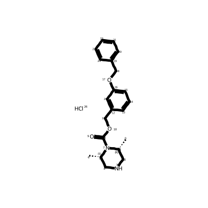 C[C@@H]1CNC[C@H](C)N1C(=O)OCc1cccc(OCc2ccccc2)c1.Cl